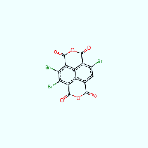 O=C1OC(=O)c2c(Br)c(Br)c3c4c(c(Br)cc1c24)C(=O)OC3=O